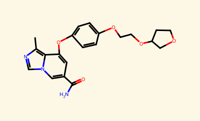 Cc1ncn2cc(C(N)=O)cc(Oc3ccc(OCCOC4CCOC4)cc3)c12